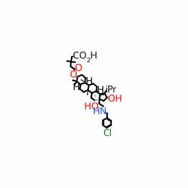 CC(C)C1=C2[C@H]3CC[C@@H]4[C@@]5(C)CC[C@H](OC(=O)CC(C)(C)CC(=O)O)C(C)(C)[C@@H]5CC[C@@]4(C)[C@]3(C)CC[C@@]2([C@H](O)CNCc2ccc(Cl)cc2)CC1O